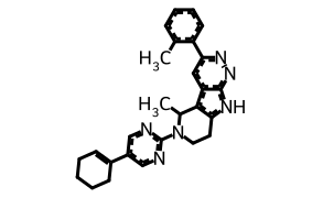 Cc1ccccc1-c1cc2c3c([nH]c2nn1)CCN(c1ncc(C2=CCCCC2)cn1)C3C